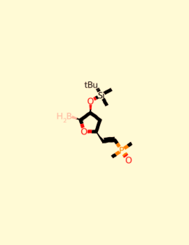 B[C@@H]1O[C@H](/C=C/P(C)(C)=O)C[C@@H]1O[Si](C)(C)C(C)(C)C